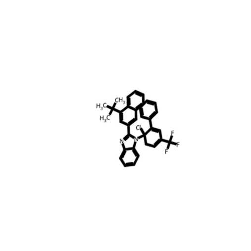 CC(C)(C)c1cc(-c2nc3ccccc3n2C2(Cl)CC=C(C(F)(F)F)C=C2c2ccccc2)cc2ccccc12